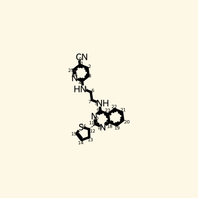 N#Cc1ccc(NCCNc2nc([C@@H]3CC=CS3)nc3ccccc23)nc1